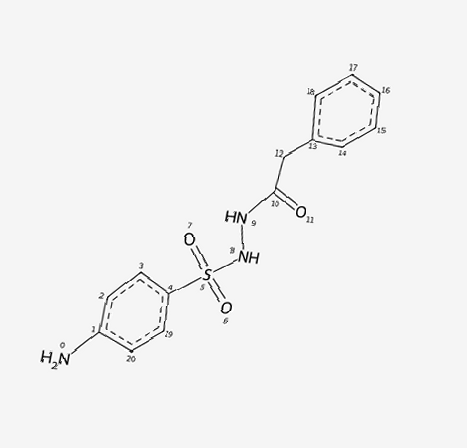 Nc1ccc(S(=O)(=O)NNC(=O)Cc2ccccc2)cc1